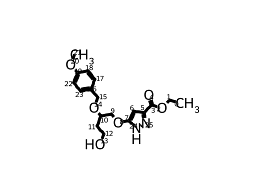 CCOC(=O)c1cc(OCC(CCO)OCc2ccc(OC)cc2)[nH]n1